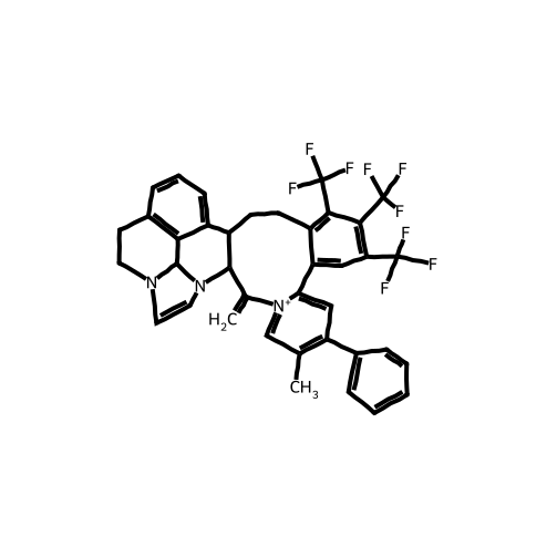 C=C1C2C(CCc3c(cc(C(F)(F)F)c(C(F)(F)F)c3C(F)(F)F)-c3cc(-c4ccccc4)c(C)c[n+]31)c1cccc3c1C1N(C=CN21)CC3